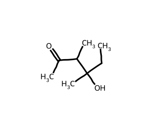 CCC(C)(O)C(C)C(C)=O